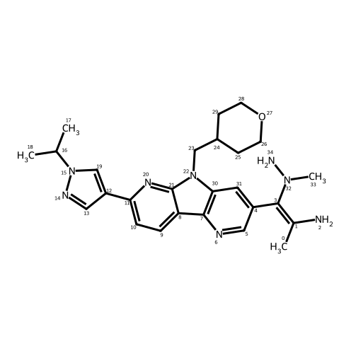 C/C(N)=C(\c1cnc2c3ccc(-c4cnn(C(C)C)c4)nc3n(CC3CCOCC3)c2c1)N(C)N